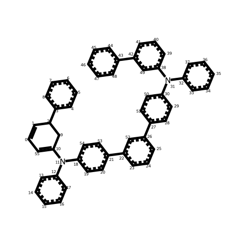 C1=CC(c2ccccc2)CC(N(c2ccccc2)c2ccc(-c3cccc(-c4ccc(N(c5ccccc5)c5cccc(-c6ccccc6)c5)cc4)c3)cc2)=C1